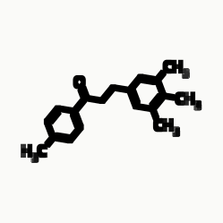 Cc1ccc(C(=O)CCc2cc(C)c(C)c(C)c2)cc1